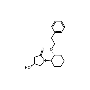 O=C1C[C@H](O)CN1[C@@H]1CCCC[C@H]1OCCc1ccccc1